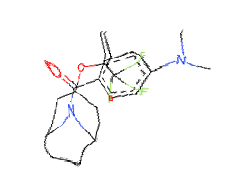 C=C(OC1CC2CCC(C1)N2C(=O)c1ccc(N(C)C)cc1)C(F)(F)F